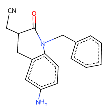 N#CCC1Cc2cc(N)ccc2N(Cc2ccccc2)C1=O